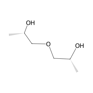 C[C@H](O)COC[C@@H](C)O